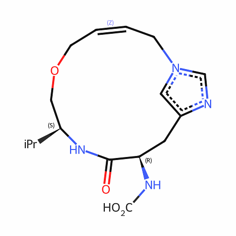 CC(C)[C@H]1COC/C=C\Cn2cnc(c2)C[C@@H](NC(=O)O)C(=O)N1